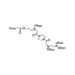 CCCCCCCCCN(CCCCCCCCC)CCN(CCCCCCCCC)CC(=O)N1CCN(C(=O)CN(CCCCCCCCC)CCCOC(=O)CC(C)CCC)CC1